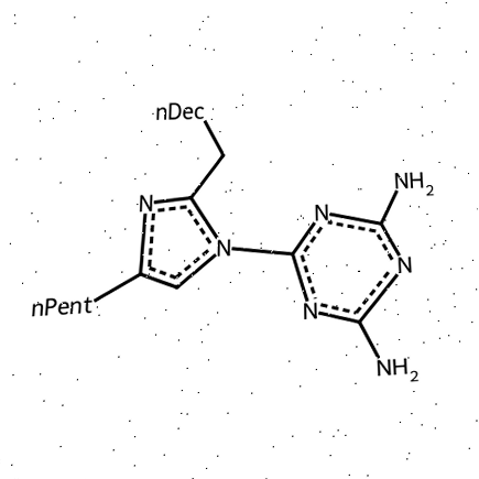 CCCCCCCCCCCc1nc(CCCCC)cn1-c1nc(N)nc(N)n1